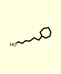 OCCCCCCC1CCCCCC1